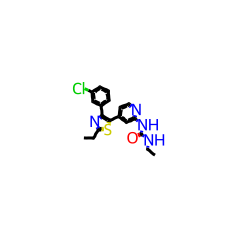 CCNC(=O)Nc1cc(-c2sc(CC)nc2-c2cccc(Cl)c2)ccn1